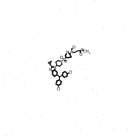 COC(=O)CCN(C=O)c1ccc(S(=O)(=O)N2CCC(n3c(C4CC4)nc4ccc(C(c5ccc(Cl)cc5)c5ccc(Cl)cc5)cc43)CC2)cn1